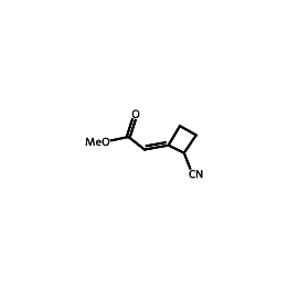 COC(=O)C=C1CCC1C#N